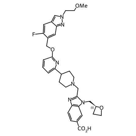 COCCn1cc2cc(F)c(COc3cccc(C4CCN(Cc5nc6ccc(C(=O)O)cc6n5C[C@@H]5CCO5)CC4)n3)cc2n1